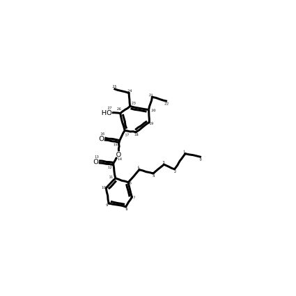 CCCCCCc1ccccc1C(=O)OC(=O)c1ccc(CC)c(CC)c1O